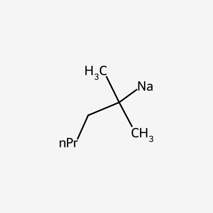 CCCC[C](C)(C)[Na]